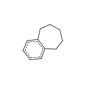 [c]1ccc2c(c1)CCCCC2